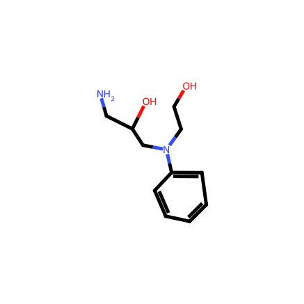 NCC(O)CN(CCO)c1ccccc1